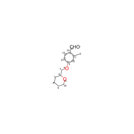 Cc1cc(OCC2CCCCO2)ccc1[C]=O